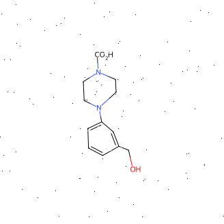 O=C(O)N1CCN(c2cccc(CO)c2)CC1